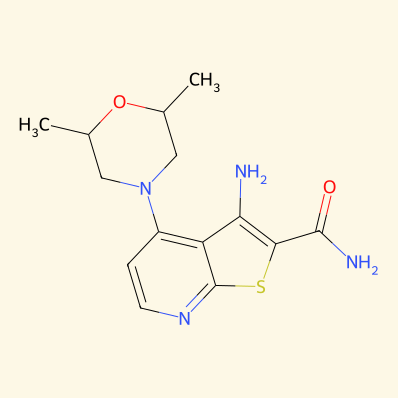 CC1CN(c2ccnc3sc(C(N)=O)c(N)c23)CC(C)O1